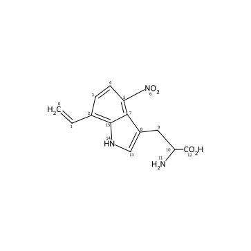 C=Cc1ccc([N+](=O)[O-])c2c(CC(N)C(=O)O)c[nH]c12